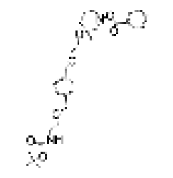 CC(C)(C)OC(=O)NCCOCc1ccc(COCCO[C@]2(C)CCCN(OC(=O)c3ccccc3)C2)cc1